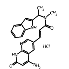 CC(c1cc2ccccc2[nH]1)N(C)C(=O)/C=C/c1cnc2[nH]c(=O)cc(N)c2c1.Cl